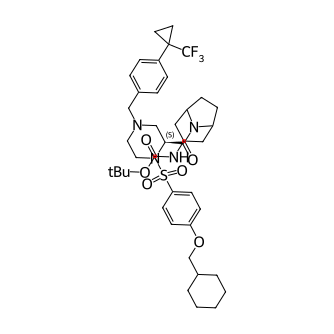 CC(C)(C)OC(=O)NC1CC2CCC(C1)N2C(=O)[C@@H]1CN(Cc2ccc(C3(C(F)(F)F)CC3)cc2)CCN1S(=O)(=O)c1ccc(OCC2CCCCC2)cc1